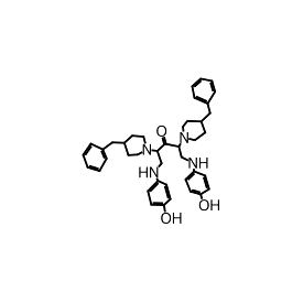 O=C(C(CNc1ccc(O)cc1)N1CCC(Cc2ccccc2)CC1)C(CNc1ccc(O)cc1)N1CCC(Cc2ccccc2)CC1